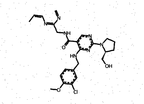 C=N/C(CNC(=O)c1cnc(N2CCC[C@H]2CO)nc1NCc1ccc(OC)c(Cl)c1)=N\C=C/C